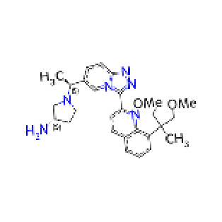 COCC(C)(COC)c1cccc2ccc(-c3nnc4ccc([C@H](C)N5CC[C@H](N)C5)cn34)nc12